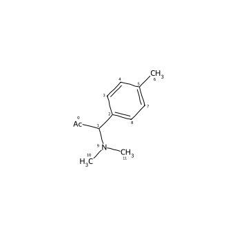 CC(=O)C(c1ccc(C)cc1)N(C)C